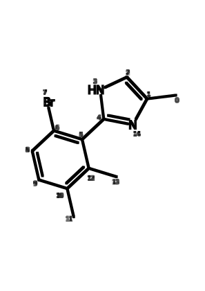 Cc1c[nH]c(-c2c(Br)ccc(C)c2C)n1